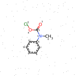 CN(C(=O)OCl)c1ccccc1